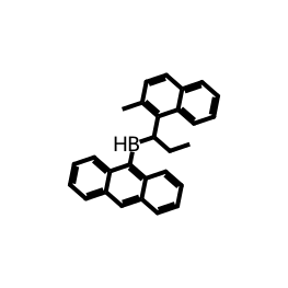 CCC(Bc1c2ccccc2cc2ccccc12)c1c(C)ccc2ccccc12